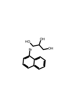 Brc1cccc2ccccc12.OCC(O)CO